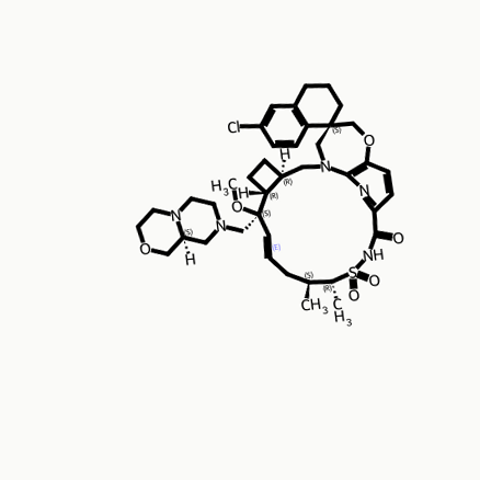 CO[C@]1(CN2CCN3CCOC[C@@H]3C2)/C=C/C[C@H](C)[C@@H](C)S(=O)(=O)NC(=O)c2ccc3c(n2)N(C[C@@H]2CC[C@H]21)C[C@@]1(CCCc2cc(Cl)ccc21)CO3